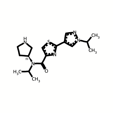 CC(C)N(C(=O)c1csc(-c2cnn(C(C)C)c2)n1)[C@H]1CCNC1